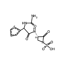 NC(=O)NC(C(=O)N[C@H]1CN(S(=O)(=O)O)C1=O)c1cccs1